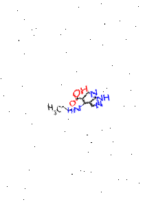 CCCCNc1c(C(=O)O)cnc2[nH]ncc12